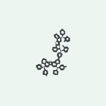 Cc1ccc(N(c2ccccc2)c2cc3c4cc(N(c5ccccc5)c5ccc(C)cc5)c5ccc(-c6ccc(N(c7ccccc7C)c7cc8c9cc(N(c%10ccccc%10)c%10ccccc%10C)c%10ccccc%10c9sc8c8ccccc78)cc6)cc5c4sc3c3ccccc23)cc1